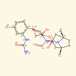 C=CCOC(=O)N1[C@@H]2CC[C@H]1C[C@H](N(P=S)C(=O)COc1ccc(Cl)cc1NC(N)=O)C2